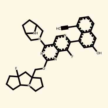 C#Cc1cccc2cc(O)cc(-c3ncc4c(N5CC6CCC(C5)N6)nc(OCC56CCCN5C5CCCC5(F)C6)nc4c3F)c12